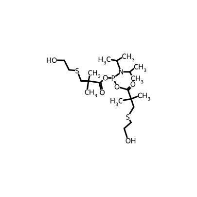 CC(C)N(C(C)C)P(OC(=O)C(C)(C)CSCCO)OC(=O)C(C)(C)CSCCO